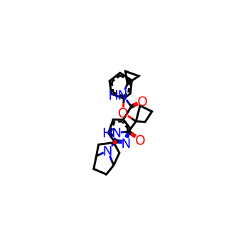 O=C(NC1CC1)c1ccc(N2C3CCC2CC(NC(=O)C2(Oc4ccccc4)CCC2)C3)nc1